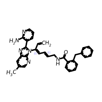 C=C/C(=C\C=C\CNC(=O)c1ccccc1Cc1ccccc1)n1c(-c2cccnc2N)nc2cc(C)cnc21